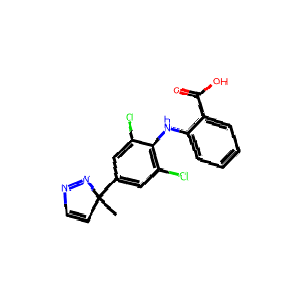 CC1(c2cc(Cl)c(Nc3ccccc3C(=O)O)c(Cl)c2)C=CN=N1